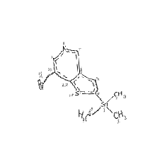 [CH3][Sn]([CH3])([CH3])[c]1cc2cncc(Br)c2s1